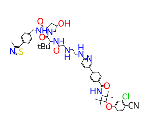 Cc1ncsc1-c1ccc(CNC(=O)[C@@H]2C[C@@H](O)CN2C(=O)[C@@H](NC(=O)CNCCNc2ccc(-c3ccc(C(=O)N[C@H]4C(C)(C)[C@H](Oc5ccc(C#N)c(Cl)c5)C4(C)C)cc3)cn2)C(C)(C)C)cc1